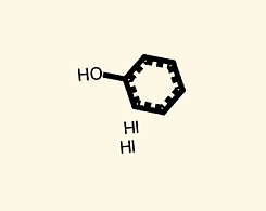 I.I.Oc1ccccc1